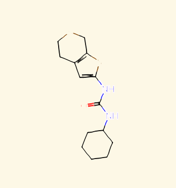 O=C(Nc1cc2c(s1)CSCC2)NC1CCCCC1